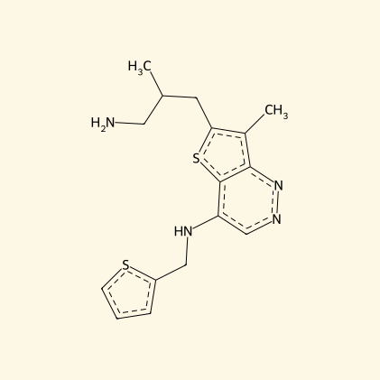 Cc1c(CC(C)CN)sc2c(NCc3cccs3)cnnc12